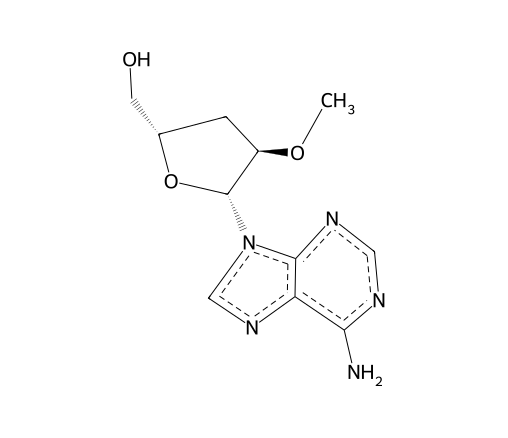 CO[C@@H]1C[C@@H](CO)O[C@H]1n1cnc2c(N)ncnc21